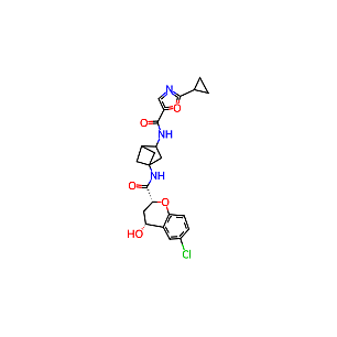 O=C(NC1CC2(NC(=O)[C@H]3C[C@@H](O)c4cc(Cl)ccc4O3)CC1C2)c1cnc(C2CC2)o1